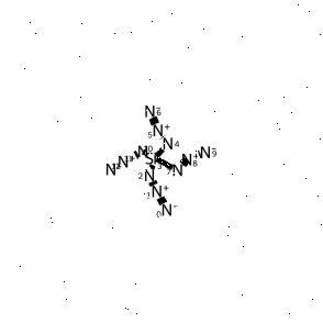 [N-]=[N+]=N[Si](N=[N+]=[N-])(N=[N+]=[N-])N=[N+]=[N-]